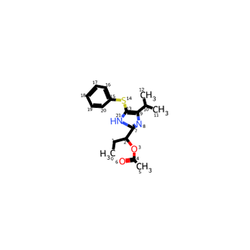 CCC(OC(C)=O)c1nc(C(C)C)c(Sc2ccccc2)[nH]1